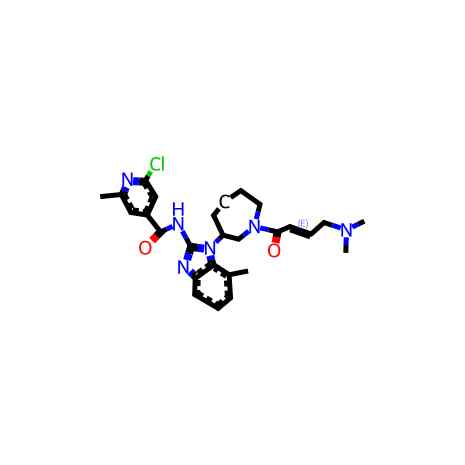 Cc1cc(C(=O)Nc2nc3cccc(C)c3n2C2CCCCN(C(=O)/C=C/CN(C)C)C2)cc(Cl)n1